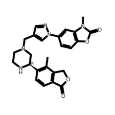 Cc1c([C@@H]2CN(Cc3cnn(-c4ccc5oc(=O)n(C)c5c4)c3)CCN2)ccc2c1COC2=O